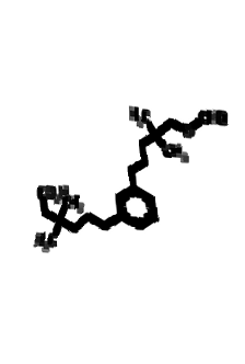 CC(C)(CCCc1cccc(CCCC(C)(C)CC(=O)O)c1)COC=O